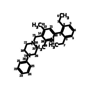 CCc1cccc(CC)c1-c1cc(C)c(CN2CCN(c3ccccc3)CC2)c(C)n1